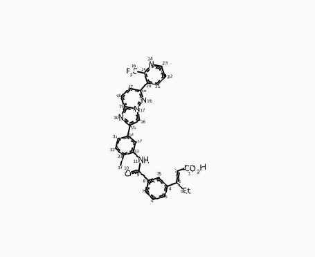 CCC(=CC(=O)O)c1cccc(C(=O)Nc2cc(-c3cn4nc(-c5cccnc5C(F)(F)F)ccc4n3)ccc2C)c1